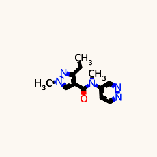 CCc1nn(C)cc1C(=O)N(C)c1ccnnc1